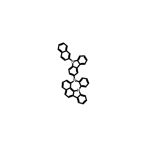 c1ccc2cc(-n3c4ccccc4c4cc(-n5c6cccc7ccc8c9ccccc9n(c9ccccc95)c8c76)ccc43)ccc2c1